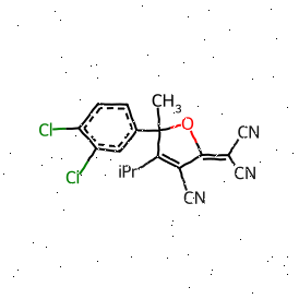 CC(C)C1=C(C#N)C(=C(C#N)C#N)OC1(C)c1ccc(Cl)c(Cl)c1